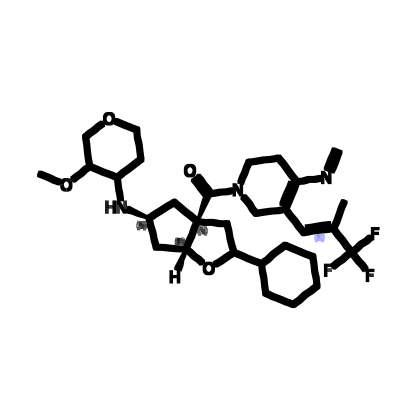 C=NC1=C(/C=C(\C)C(F)(F)F)CN(C(=O)[C@@]23CC(C4CCCCC4)O[C@@H]2C[C@@H](NC2CCOCC2OC)C3)CC1